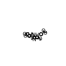 COc1cc2nc(C)nc(N[C@H](C)c3cccc4c3CCS4(=O)=O)c2cc1[C@H]1CC[C@H](C(=O)OC)CC1